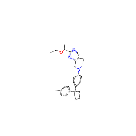 CCOC(C)c1ncc2c(n1)CN(c1ccc(C3(c4ccc(C)cc4)CCC3)cc1)CC2